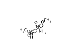 CCCS(=O)(=O)Nc1ccc(-c2c(N)c3ccc(OCC)cc3n2CC2CCC2)cc1